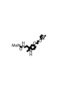 CNC(=O)NCCc1c(C)[nH]c2ccc(OCCOc3ccn(C)n3)cc12